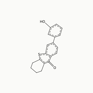 O=c1c2c(sc3cc(-c4cccc(O)c4)ccc13)CCCC2